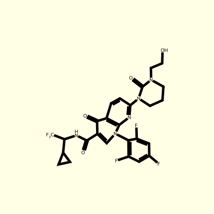 O=C(NC(C1CC1)C(F)(F)F)c1cn(-c2c(F)cc(F)cc2F)c2nc(N3CCCN(CCO)C3=O)ccc2c1=O